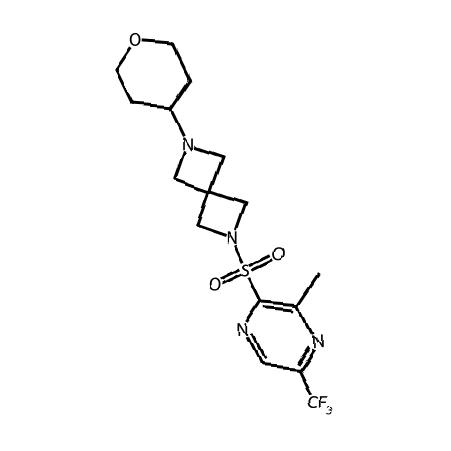 Cc1nc(C(F)(F)F)cnc1S(=O)(=O)N1CC2(CN(C3CCOCC3)C2)C1